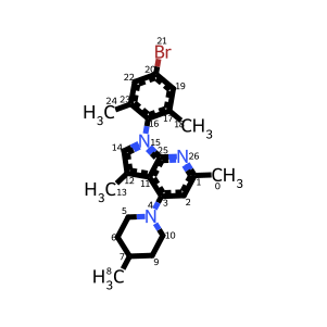 Cc1cc(N2CCC(C)CC2)c2c(C)cn(-c3c(C)cc(Br)cc3C)c2n1